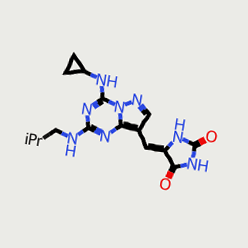 CC(C)CNc1nc(NC2CC2)n2ncc(/C=C3\NC(=O)NC3=O)c2n1